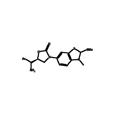 CSC1Sc2cc(N3C[C@@H](C(N)C(C)=O)OC3=O)ccc2N1C